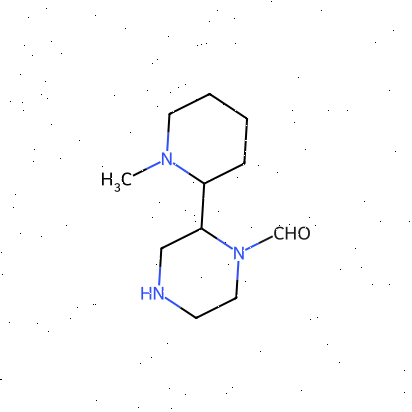 CN1CCCCC1C1CNCCN1C=O